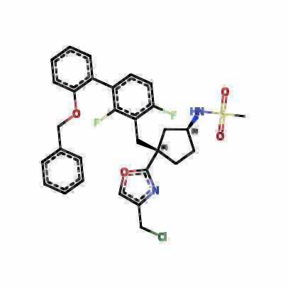 CS(=O)(=O)N[C@H]1CC[C@](Cc2c(F)ccc(-c3ccccc3OCc3ccccc3)c2F)(c2nc(CCl)co2)C1